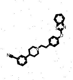 N#Cc1[c]c(C2CCN(CCc3ccc(Oc4nc5ccccc5s4)cc3)CC2)ccc1